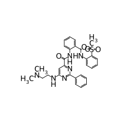 CN(C)CCNc1cc(C(=O)Nc2ccccc2C(=O)Nc2ccccc2S(C)(=O)=O)nc(-c2ccccc2)n1